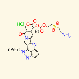 CCCCCN1C=Nc2cccc3nc4c(c1c23)Cn1c-4cc2c(c1=O)COC(=O)[C@@]2(CC)OC(=O)OCCS(=O)(=O)CCN.Cl